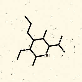 CCCC1C(C)C(C(C)C)NC(C)C1CC